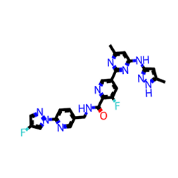 Cc1cc(Nc2cc(C)[nH]n2)nc(-c2cnc(C(=O)NCc3ccc(-n4cc(F)cn4)nc3)c(F)c2)n1